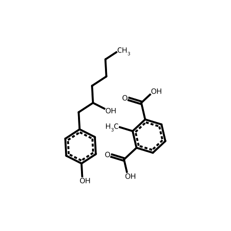 CCCCC(O)Cc1ccc(O)cc1.Cc1c(C(=O)O)cccc1C(=O)O